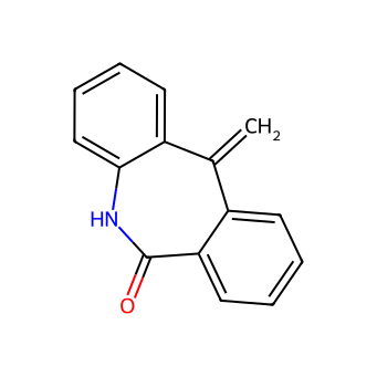 C=C1c2ccccc2NC(=O)c2ccccc21